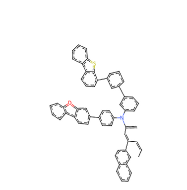 C=C(/C=C(\C=C/C)c1ccc2ccccc2c1)N(c1ccc(-c2ccc3c(c2)oc2ccccc23)cc1)c1cccc(-c2cccc(-c3cccc4c3sc3ccccc34)c2)c1